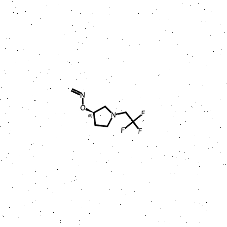 C=NO[C@@H]1CCN(CC(F)(F)F)C1